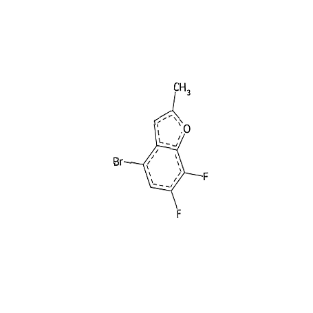 Cc1cc2c(Br)cc(F)c(F)c2o1